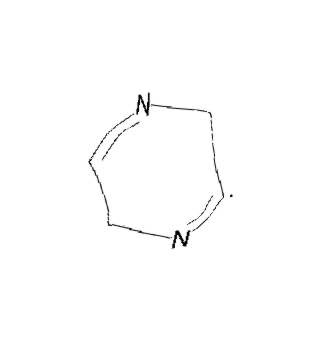 [C]1=NCC=NC1